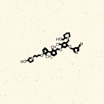 Cc1c(COc2cc(OCc3cncc(C#N)c3)c(CN3CCCCC3CO)cc2Cl)cccc1-c1cccc(OCCCN2CC[C@@H](O)C2)c1C